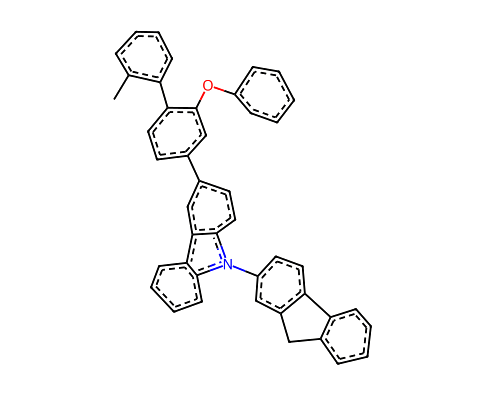 Cc1ccccc1-c1ccc(-c2ccc3c(c2)c2ccccc2n3-c2ccc3c(c2)Cc2ccccc2-3)cc1Oc1ccccc1